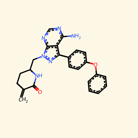 C=C1CCC(Cn2nc(-c3ccc(Oc4ccccc4)cc3)c3c(N)ncnc32)NC1=O